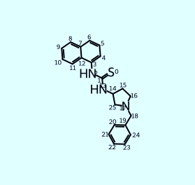 S=C(Nc1cccc2ccccc12)NC1CCN(Cc2ccccc2)C1